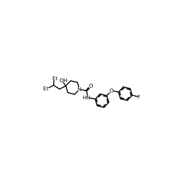 CCC(CC)CC1(O)CCN(C(=O)Nc2cccc(Oc3ccc(F)cc3)c2)CC1